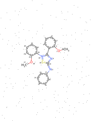 COc1ccccc1-c1n/c(=N/c2ccccc2)sn1-c1ccccc1OC